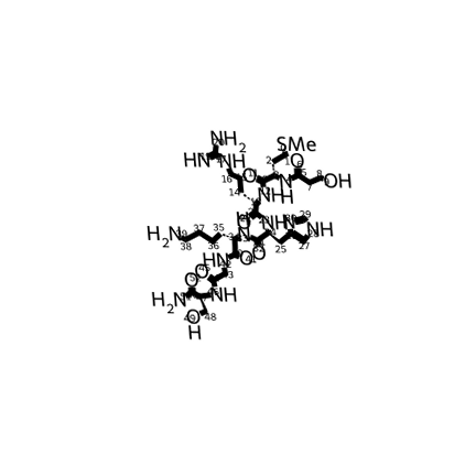 CSCC[C@H](NC(=O)CCO)C(=O)N[C@@H](CCCNC(=N)N)C(=O)N[C@@H](Cc1c[nH]cn1)C(=O)N[C@@H](CCCCN)C(=O)NCC(=O)N[C@@H](CO)C(N)=O